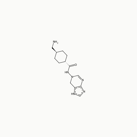 NC[C@H]1CC[C@H](C(=O)NN2C=Nc3nc[nH]c3C2)CC1